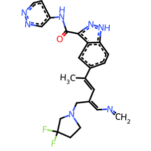 C=N/C=C(\C=C(/C)c1ccc2[nH]nc(C(=O)Nc3ccnnc3)c2c1)CN1CCC(F)(F)C1